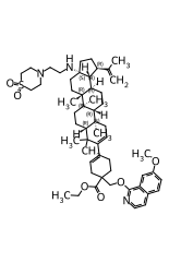 C=C(C)[C@@H]1CC[C@]2(NCCN3CCS(=O)(=O)CC3)CC[C@]3(C)[C@H](CC[C@@H]4[C@@]5(C)CC=C(C6=CCC(COc7nccc8ccc(OC)cc78)(C(=O)OCC)CC6)C(C)(C)[C@@H]5CC[C@]43C)[C@@H]12